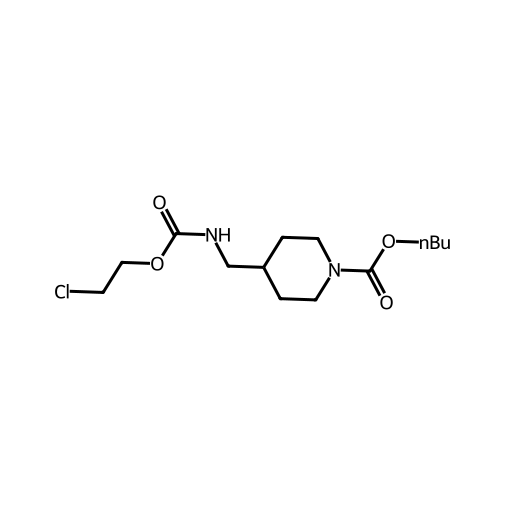 CCCCOC(=O)N1CCC(CNC(=O)OCCCl)CC1